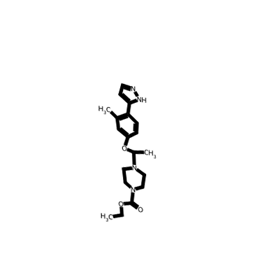 CCOC(=O)N1CCN(C(C)Oc2ccc(-c3ccn[nH]3)c(C)c2)CC1